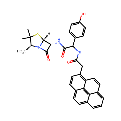 CC1(C)S[C@@H]2[C@H](NC(=O)C(NC(=O)Cc3ccc4ccc5cccc6ccc3c4c56)c3ccc(O)cc3)C(=O)N2[C@H]1C(=O)O